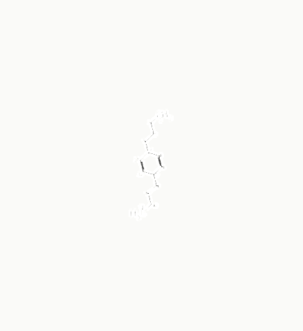 CCCCC1C=CC(CCCC)C=C1